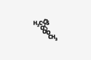 CCOC(=O)CC(=O)c1sccc1C